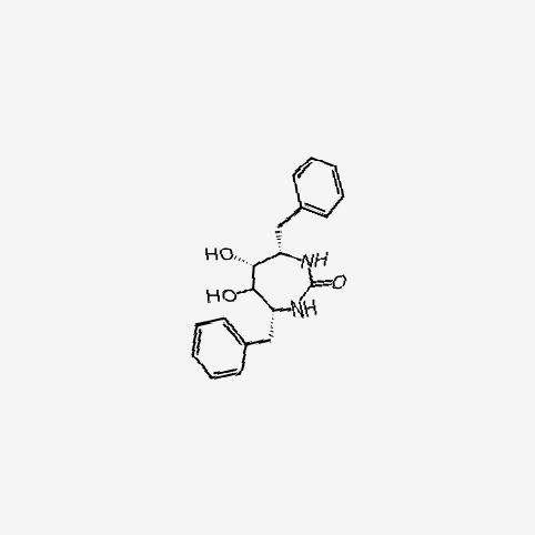 O=C1N[C@@H](Cc2ccccc2)[C@@H](O)C(O)[C@@H](Cc2ccccc2)N1